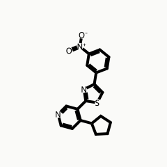 O=[N+]([O-])c1cccc(-c2csc(-c3cnccc3C3CCCC3)n2)c1